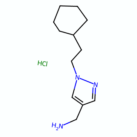 Cl.NCc1cnn(CCC2CCCCC2)c1